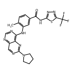 Cc1ccc(C(=O)Nc2nnc(C(F)(F)F)s2)cc1Nc1ncnc2cnc(N3CCCC3)nc12